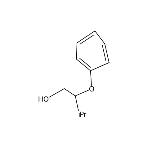 CC(C)C(CO)Oc1ccccc1